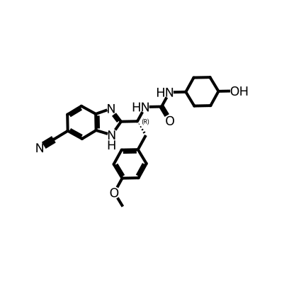 COc1ccc(C[C@@H](NC(=O)NC2CCC(O)CC2)c2nc3ccc(C#N)cc3[nH]2)cc1